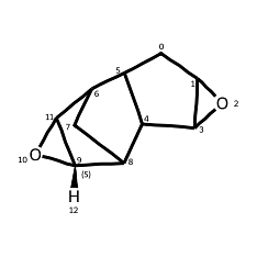 C1C2OC2C2C1C1CC2[C@@H]2OC12